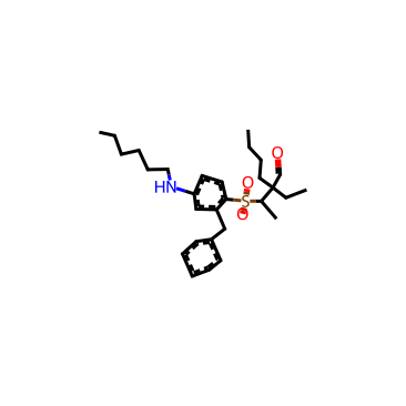 CCCCCCNc1ccc(S(=O)(=O)C(C)C(C=O)(CC)CCCC)c(Cc2ccccc2)c1